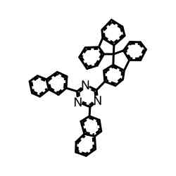 c1ccc2c(c1)-c1ccccc1C21c2ccccc2-c2ccc(-c3nc(-c4ccc5ccccc5c4)nc(-c4ccc5ccccc5c4)n3)cc21